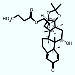 CC1(C)O[C@@H]2C[C@H]3[C@@H]4CCC5=CC(=O)C=C[C@]5(C)C4(F)[C@@H](O)C[C@]3(C)[C@]2(C(=O)COC(=O)CCC(=O)O)O1